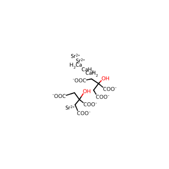 O=C([O-])CC(O)(CC(=O)[O-])C(=O)[O-].O=C([O-])CC(O)(CC(=O)[O-])C(=O)[O-].[CaH2].[CaH2].[CaH2].[Sr+2].[Sr+2].[Sr+2]